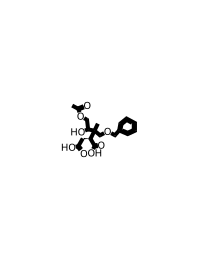 CC(=O)OCC(O)C(C)(COCc1ccccc1)[C@@H](CC(=O)O)C(=O)O